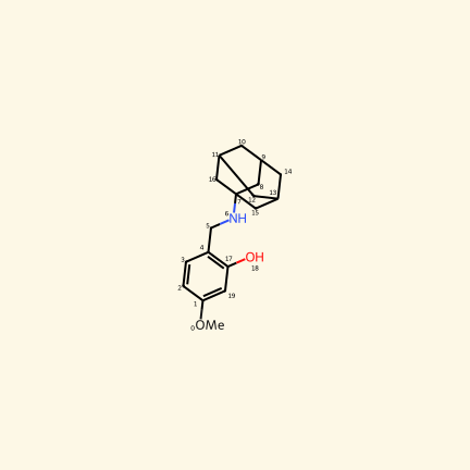 COc1ccc(CNC23CC4CC(CC(C4)C2)C3)c(O)c1